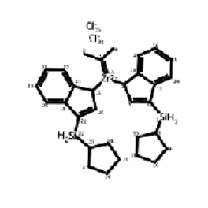 C[C](C)=[Zr+2]([CH]1C=C([SiH2]C2CCCC2)c2ccccc21)[CH]1C=C([SiH2]C2CCCC2)c2ccccc21.[Cl-].[Cl-]